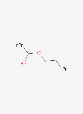 CCCC([O])OCCC(C)C